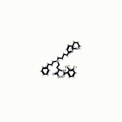 O=C(NC(CCN(CCCCc1ccc2c(n1)NCCC2)CCCc1ccccc1)C(=O)O)c1cccc(F)c1Cl